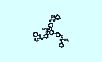 CC(OC1=CC=C(c2cc(-c3ccc(O[C@@H](C)Oc4ccccc4)cc3)cc(-c3ccc(OC(C)Oc4ccccc4)cc3)c2S(=O)(=O)O)CC1)Oc1ccccc1